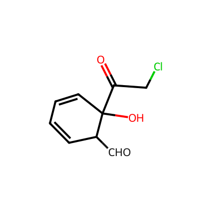 O=CC1C=CC=CC1(O)C(=O)CCl